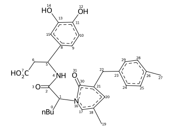 CCCCC(C(=O)NC(CC(=O)O)c1ccc(O)c(O)c1)n1cc(C)cc(Cc2ccc(C)cc2)c1=O